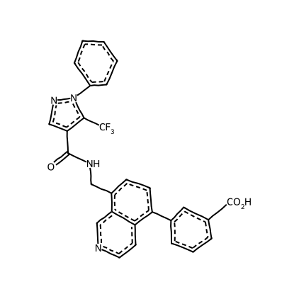 O=C(O)c1cccc(-c2ccc(CNC(=O)c3cnn(-c4ccccc4)c3C(F)(F)F)c3cnccc23)c1